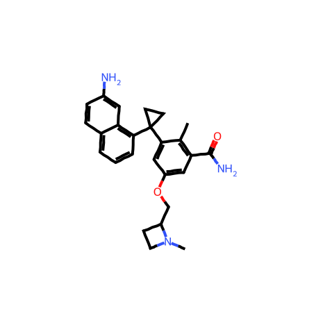 Cc1c(C(N)=O)cc(OCC2CCN2C)cc1C1(c2cccc3ccc(N)cc23)CC1